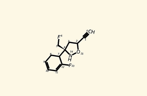 C#CC1C[C@@](CF)(C2CC=CC=C2F)NO1